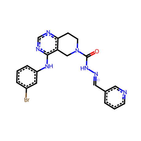 O=C(N/N=C/c1cccnc1)N1CCc2ncnc(Nc3cccc(Br)c3)c2C1